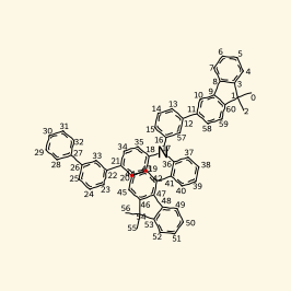 CC1(C)c2ccccc2-c2cc(-c3cccc(N(c4ccc(-c5cccc(-c6ccccc6)c5)cc4)c4ccccc4-c4cccc5c4-c4ccccc4C5(C)C)c3)ccc21